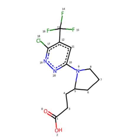 O=C(O)CCC1CCCN1c1cc(C(F)(F)F)c(Cl)nn1